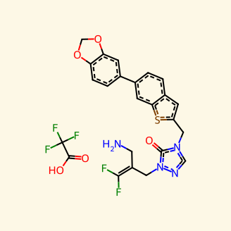 NCC(Cn1ncn(Cc2cc3ccc(-c4ccc5c(c4)OCO5)cc3s2)c1=O)=C(F)F.O=C(O)C(F)(F)F